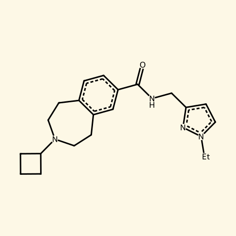 CCn1ccc(CNC(=O)c2ccc3c(c2)CCN(C2CCC2)CC3)n1